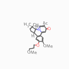 COCCCOc1cc2c(cc1OC)-c1cc(=O)c(C(C)=O)cn1[C@@H]1[C@H]2CCC1(C)C